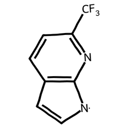 FC(F)(F)c1ccc2c(n1)[N]C=C2